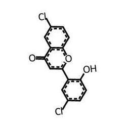 O=c1cc(-c2cc(Cl)ccc2O)oc2ccc(Cl)cc12